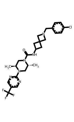 C[C@@H]1CN(c2ncc(C(F)(F)F)cn2)[C@@H](C)CN1C(=O)NC1CC2(C1)CN(Cc1ccc(Cl)cc1)C2